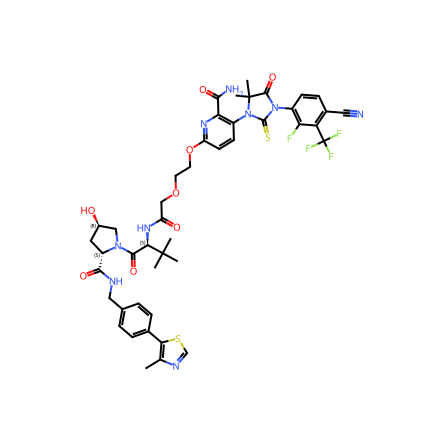 Cc1ncsc1-c1ccc(CNC(=O)[C@@H]2C[C@@H](O)CN2C(=O)[C@@H](NC(=O)COCCOc2ccc(N3C(=S)N(c4ccc(C#N)c(C(F)(F)F)c4F)C(=O)C3(C)C)c(C(N)=O)n2)C(C)(C)C)cc1